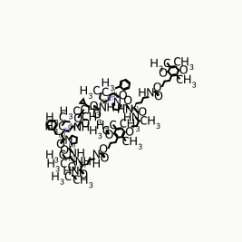 COc1c(C)c(C)c(OCCC(C)NC(=O)[C@H](CCCCNC(=O)OCCCC2=C(C)C(=O)C(C)=C(C)C2=O)NC(=O)[C@@H]2CCCN2C(=O)[C@H](/C=C/[C@H](CC(C)C)NC(=O)OCC2CC2)Cc2ccccc2)c(C)c1CCCOC(=O)NCCC[C@H](NC(=O)[C@@H](NC(=O)[C@@H]1CCCN1C(=O)[C@H](/C=C/[C@H](CC(C)C)NC(=O)OC(C)(C)C)Cc1ccccc1)C(C)C)C(=O)NC(C)C